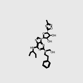 CCC(CC)Nc1nc(N(CO)CCc2ccccc2)nc2c1ncn2[C@@H]1O[C@H](c2nc(C)no2)[C@@H](O)[C@H]1O